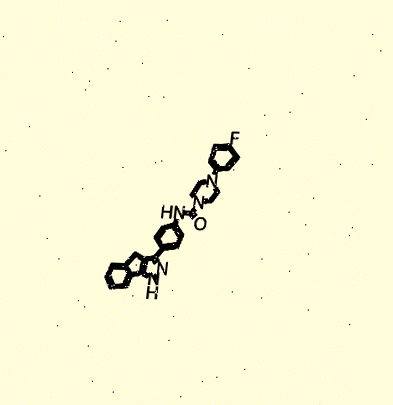 O=C(Nc1ccc(-c2n[nH]c3c2Cc2ccccc2-3)cc1)N1CCN(c2ccc(F)cc2)CC1